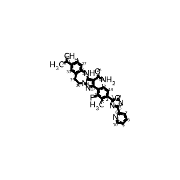 Cc1c(-c2nc(-c3ccccn3)no2)ccc(-c2nn3c(c2C(N)=O)Nc2ccc(C(C)C)cc2CC3)c1F